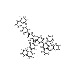 c1ccc(-n2c3ccccc3c3c(-c4cccc(N(c5ccc(-c6ccc(-c7cccc8ccccc78)cc6)cc5)c5ccc(-c6cccc7ccccc67)cc5)c4)cc4ccccc4c32)cc1